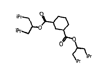 CC(C)CC(CC(C)C)OC(=O)C1CCCC(C(=O)OC(CC(C)C)CC(C)C)C1